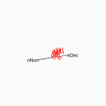 CCCCCCCCCC=CC=CC=CC=CC=CC=CC(=O)O[C@H](COC(=O)CCCCCCCCCCCCCCCCC)COC(C(O)CO)P(=O)(O)O